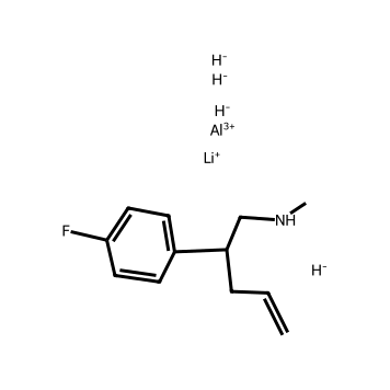 C=CCC(CNC)c1ccc(F)cc1.[Al+3].[H-].[H-].[H-].[H-].[Li+]